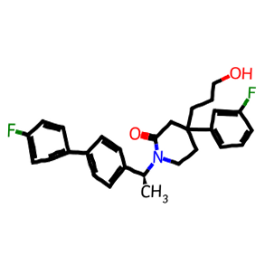 C[C@@H](c1ccc(-c2ccc(F)cc2)cc1)N1CCC(CCCO)(c2cccc(F)c2)CC1=O